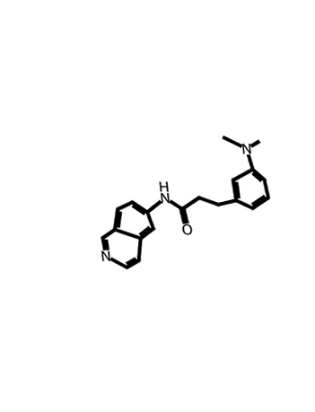 CN(C)c1cccc(CCC(=O)Nc2ccc3cnccc3c2)c1